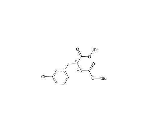 CC(C)OC(=O)[C@@H](Cc1cccc(Cl)c1)NC(=O)OC(C)(C)C